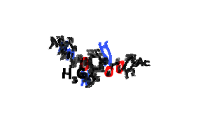 CC(=O)c1ccc(OCC(=O)Nc2ccc(OCCN3CCN(C(C)=O)CC3)c(-c3ccnn3C)c2)cc1